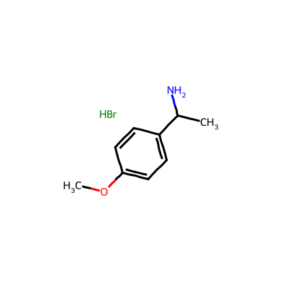 Br.COc1ccc(C(C)N)cc1